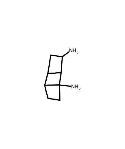 NC1CC2C3CCC3(N)C12